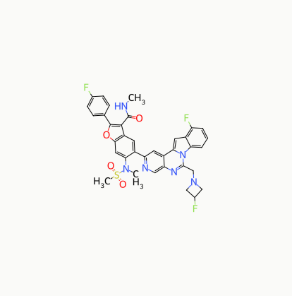 CNC(=O)c1c(-c2ccc(F)cc2)oc2cc(N(C)S(C)(=O)=O)c(-c3cc4c(cn3)nc(CN3CC(F)C3)n3c5cccc(F)c5cc43)cc12